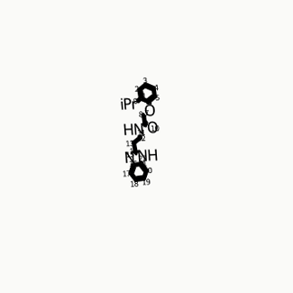 CC(C)c1ccccc1OCC(=O)NCCc1nc2ccccc2[nH]1